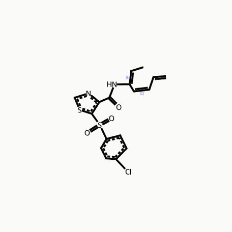 C=C/C=C\C(=C/C)NC(=O)c1ncsc1S(=O)(=O)c1ccc(Cl)cc1